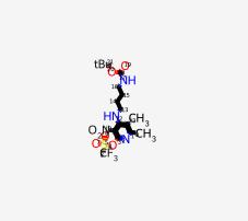 Cc1nc(OS(=O)(=O)C(F)(F)F)c([N+](=O)[O-])c(NCCCCNC(=O)OC(C)(C)C)c1C